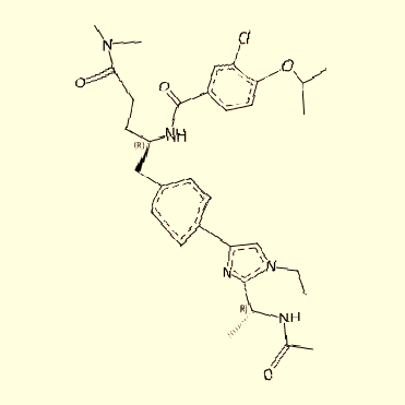 CCn1cc(-c2ccc(C[C@@H](CCC(=O)N(C)C)NC(=O)c3ccc(OC(C)C)c(Cl)c3)cc2)nc1[C@@H](C)NC(C)=O